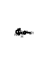 CCOCCOc1ccc(NC(=O)c2c[nH]c3c2-c2nn(C)cc2CCC3)cc1